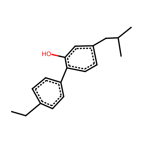 CCc1ccc(-c2ccc(CC(C)C)cc2O)cc1